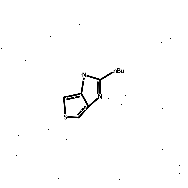 CCCCC1=Nc2cscc2[N]1